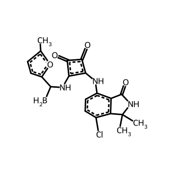 BC(Nc1c(Nc2ccc(Cl)c3c2C(=O)NC3(C)C)c(=O)c1=O)c1ccc(C)o1